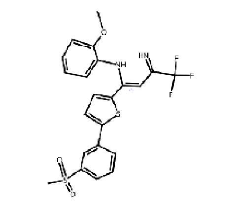 COc1ccccc1N/C(=C\C(=N)C(F)(F)F)c1ccc(-c2cccc(S(C)(=O)=O)c2)s1